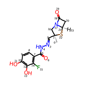 C[C@]1(/C=N/NC(=O)c2ccc(O)c(O)c2F)CN2C(=O)C[C@H]2S1